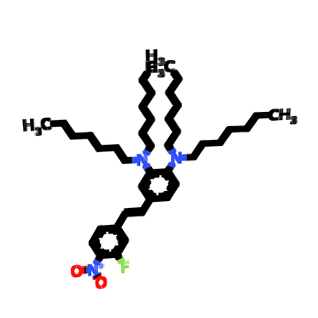 CCCCCCCN(CCCCCCC)c1ccc(C=Cc2ccc([N+](=O)[O-])c(F)c2)cc1N(CCCCCCC)CCCCCCC